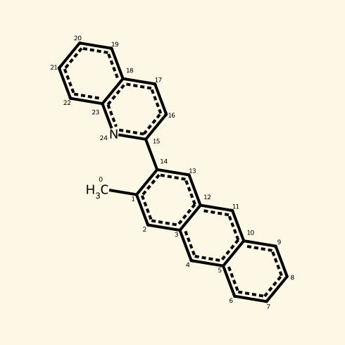 Cc1cc2cc3ccccc3cc2cc1-c1ccc2ccccc2n1